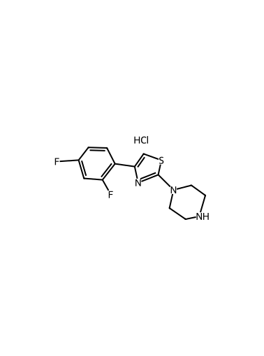 Cl.Fc1ccc(-c2csc(N3CCNCC3)n2)c(F)c1